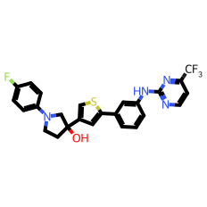 OC1(c2csc(-c3cccc(Nc4nccc(C(F)(F)F)n4)c3)c2)CCN(c2ccc(F)cc2)C1